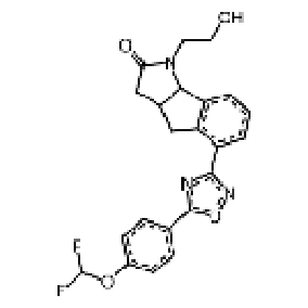 O=C1CC2Cc3c(-c4noc(-c5ccc(OC(F)F)cc5)n4)cccc3C2N1CCO